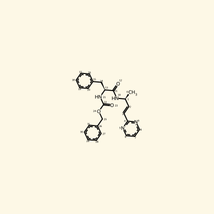 C[C@@H](/C=C/c1ncccn1)NC(=O)[C@H](Cc1ccccc1)NC(=O)OCc1ccccc1